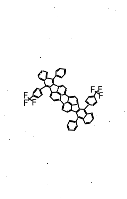 FC(F)(F)c1ccc(-c2c3c(c(-c4ccccc4)c4ccccc24)-c2ccc4c5ccc6c7c(ccc(c8ccc-3c2c48)c75)-c2c-6c(-c3ccc(C(F)(F)F)cc3)c3ccccc3c2-c2ccccc2)cc1